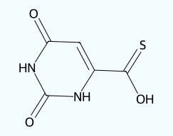 O=c1cc(C(O)=S)[nH]c(=O)[nH]1